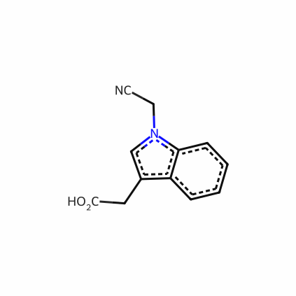 N#CCn1cc(CC(=O)O)c2ccccc21